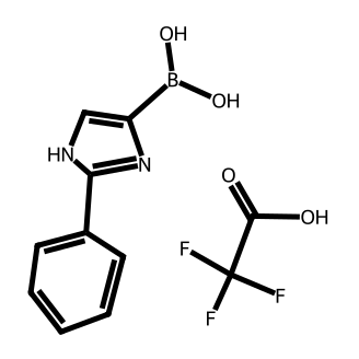 O=C(O)C(F)(F)F.OB(O)c1c[nH]c(-c2ccccc2)n1